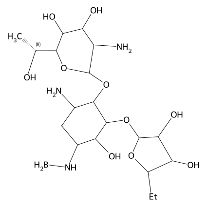 BNC1CC(N)C(OC2OC([C@@H](C)O)C(O)C(O)C2N)C(OC2OC(CC)C(O)C2O)C1O